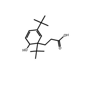 CC(C)(C)C1=CC(CCC(=O)O)(C(C)(C)C)C(O)C=C1